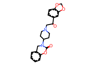 O=C(CN1CCC(N2Cc3ccccc3OC2=O)CC1)c1ccc2c(c1)OCO2